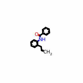 C=CCc1ccccc1NC(=O)c1ccccc1